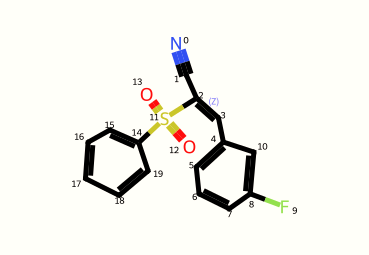 N#C/C(=C/c1cccc(F)c1)S(=O)(=O)c1ccccc1